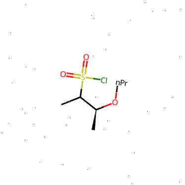 CCCO[C@@H](C)C(C)S(=O)(=O)Cl